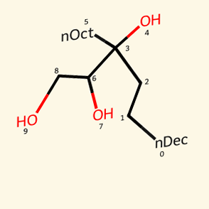 CCCCCCCCCCCCC(O)(CCCCCCCC)C(O)CO